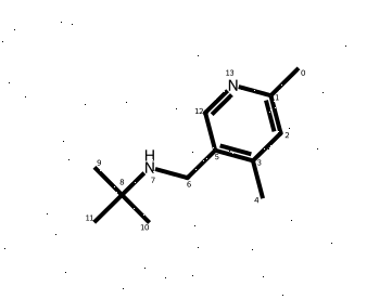 Cc1cc(C)c(CNC(C)(C)C)cn1